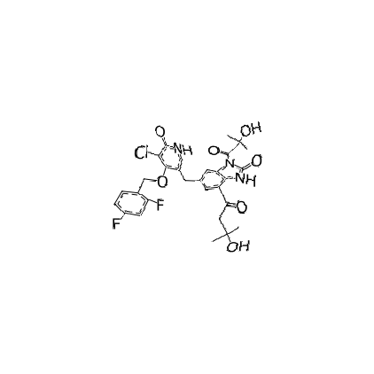 CC(C)(O)CC(=O)c1cc(Cc2c[nH]c(=O)c(Cl)c2OCc2ccc(F)cc2F)cc2c1[nH]c(=O)n2C(=O)C(C)(C)O